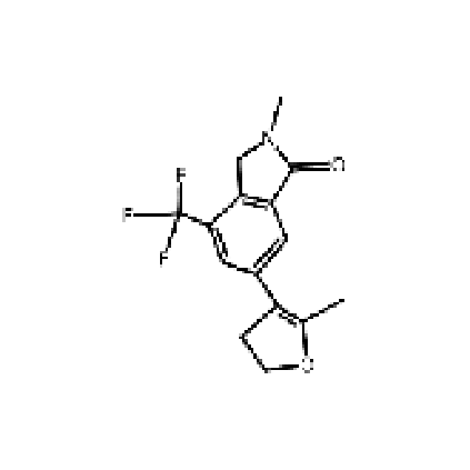 CC1=C(c2cc3c(c(C(F)(F)F)c2)CN(C)C3=O)CCO1